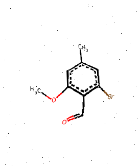 COc1cc(C)cc(Br)c1C=O